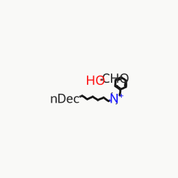 CCCCCCCCCCCCCCCC[N+](C)(C)Cc1ccccc1.O=CO